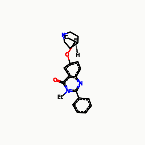 CCn1c(-c2ccccc2)nc2ccc(O[C@H]3CN4CCC3CC4)cc2c1=O